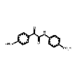 CCCCCCc1ccc(C(=O)C(=O)Nc2ccc(C(=O)O)cc2)cc1